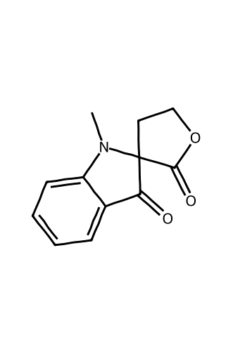 CN1c2ccccc2C(=O)C12CCOC2=O